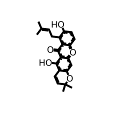 CC(C)=CCc1c(O)ccc2oc3cc4c(c(O)c3c(=O)c12)C=CC(C)(C)O4